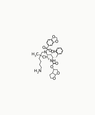 CC(C)(CCCCN)CN(C[C@H](O)[C@H](Cc1ccccc1)NC(=O)OC1COC2OCCC12)S(=O)(=O)c1ccc2c(c1)OCO2